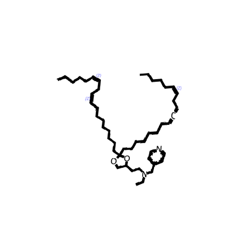 CCCCC/C=C\CC=C=CCCCCCCCC1(CCCCCCCC/C=C\C/C=C\CCCCC)OCC(CCN(CC)Cc2ccncc2)O1